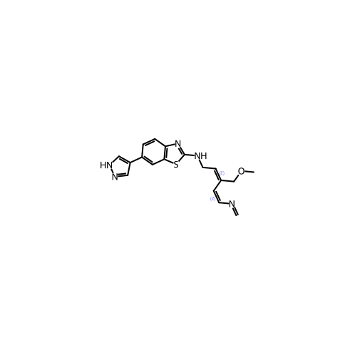 C=N/C=C\C(=C/CNc1nc2ccc(-c3cn[nH]c3)cc2s1)COC